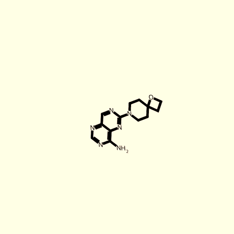 Nc1ncnc2cnc(N3CCC4(CCO4)CC3)nc12